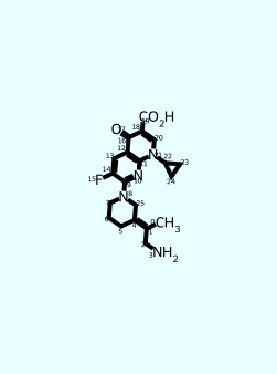 C/C(CN)=C1/CCCN(c2nc3c(cc2F)c(=O)c(C(=O)O)cn3C2CC2)C1